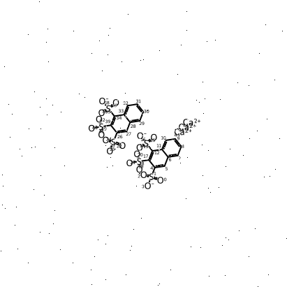 O=S(=O)([O-])c1cc2ccccc2c(S(=O)(=O)[O-])c1S(=O)(=O)[O-].O=S(=O)([O-])c1cc2ccccc2c(S(=O)(=O)[O-])c1S(=O)(=O)[O-].[Ca+2].[Ca+2].[Ca+2]